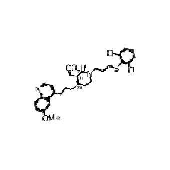 COc1ccc2nccc(CCC[C@@H]3CCN(CCCSc4c(Cl)cccc4Cl)C[C@@H]3CC(=O)O)c2c1